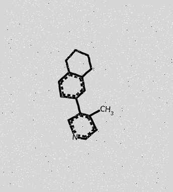 Cc1ccncc1-c1ccc2c(c1)[C]CCC2